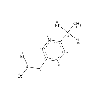 CCC(CC)Cc1cnc(C(C)(CC)CC)cn1